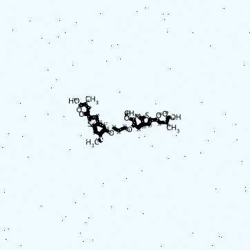 COc1cc2sc(C(=O)C[C@H](C)C(=O)O)cc2cc1OCCCOc1cc2cc(C(=O)C[C@H](C)C(=O)O)sc2nc1OC